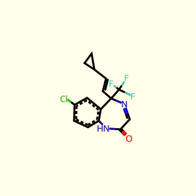 O=C1C=NC(C=CC2CC2)(C(F)(F)F)c2cc(Cl)ccc2N1